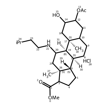 COC(=O)C1CC[C@H]2[C@@H]3CCC4CC(OC(C)=O)C(O)C[C@]4(C)[C@@H]3C(NCCC(C)C)C[C@]12C.Cl